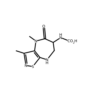 Cc1nsc2c1N(C)C(=O)C(NC(=O)O)CN2